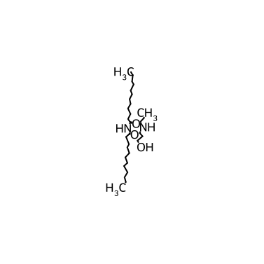 CCCCCCCCCCCC(=O)NC(=O)CCCCCCCCCCC.CCCNCCCO